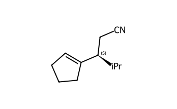 CC(C)[C@H](CC#N)C1=CCCC1